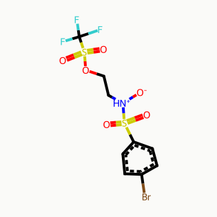 O=S(=O)(c1ccc(Br)cc1)[NH+]([O-])CCOS(=O)(=O)C(F)(F)F